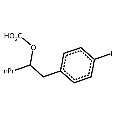 CCCC(Cc1ccc(I)cc1)OC(=O)O